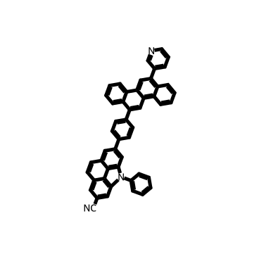 N#Cc1cc2ccc3cc(-c4ccc(-c5cc6c7ccccc7c(-c7cccnc7)cc6c6ccccc56)cc4)cc4c3c2c(c1)n4-c1ccccc1